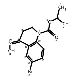 CC(C)OC(=O)N1CC/C(=N/O)c2cc(Br)ccc21